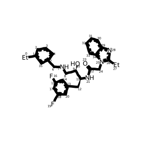 CCc1cccc(CNC[C@H](O)[C@H](Cc2cc(F)cc(F)c2)NC(=O)Cn2c(CC)nc3ccccc32)c1